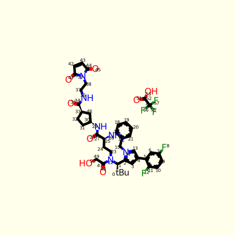 CC(C)(C)[C@H](c1cc(-c2cc(F)ccc2F)cn1Cc1ccccc1)N(CC[C@H](N)C(=O)N[C@@H]1CC[C@@H](C(=O)NCCN2C(=O)C=CC2=O)C1)C(=O)CO.O=C(O)C(F)(F)F